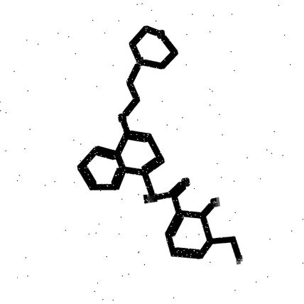 O=C(Nc1ccc(OCCN2CCOCC2)c2ccccc12)C1=CC=CC(CF)C1Cl